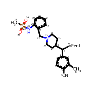 CCCCCC(c1ccc(C#N)c(C)c1)C1CCN(Cc2ccccc2NS(C)(=O)=O)CC1